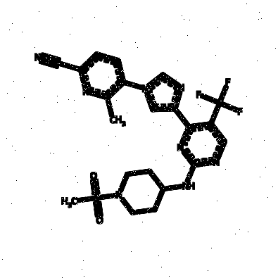 Cc1nc(C#N)ccc1-n1cnc(-c2nc(NC3CCN(S(C)(=O)=O)CC3)ncc2C(F)(F)F)c1